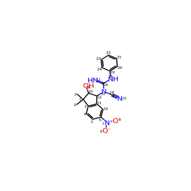 CC1(C)c2ccc([N+](=O)[O-])cc2C(N(C#N)C(=N)Nc2ccccc2)C1O